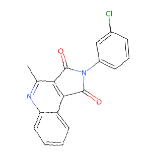 Cc1nc2ccccc2c2c1C(=O)N(c1cccc(Cl)c1)C2=O